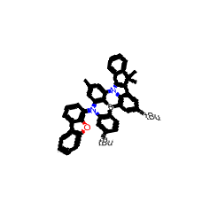 Cc1cc2c3c(c1)-n1c4c(c5cc(C(C)(C)C)cc(c51)B3c1ccc(C(C)(C)C)cc1N2c1cccc2c1oc1ccccc12)C(C)(C)c1ccccc1-4